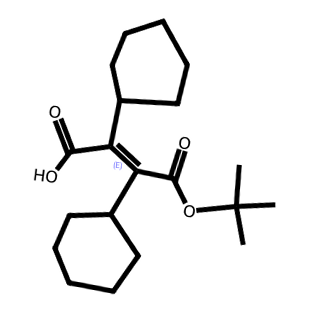 CC(C)(C)OC(=O)/C(=C(/C(=O)O)C1CCCCC1)C1CCCCC1